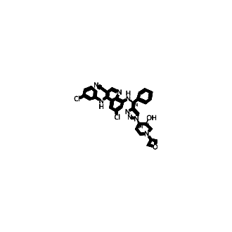 N#Cc1cnc2c(N[C@@H](c3ccccc3)c3cn([C@@H]4CCN(C5COC5)C[C@H]4O)nn3)cc(Cl)cc2c1Nc1cccc(Cl)c1